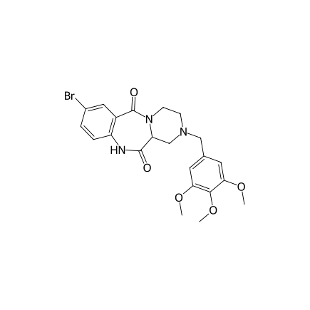 COc1cc(CN2CCN3C(=O)c4cc(Br)ccc4NC(=O)C3C2)cc(OC)c1OC